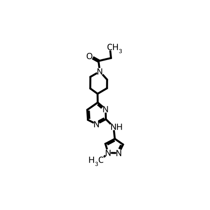 CCC(=O)N1CCC(c2ccnc(Nc3cnn(C)c3)n2)CC1